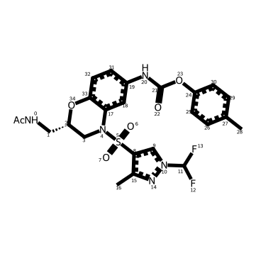 CC(=O)NC[C@H]1CN(S(=O)(=O)c2cn(C(F)F)nc2C)c2cc(NC(=O)Oc3ccc(C)cc3)ccc2O1